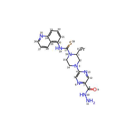 CC(C)C1CN(c2cnc(C(=O)NN)cn2)CCN1C(=S)Nc1cccc2ncccc12